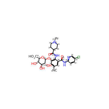 [C-]#[N+]c1cc(O[C@@H]2O[C@H](C(=O)O)[C@@H](O)[C@H](O)[C@H]2O)c(NC(=O)C2CCN(C(C)C)CC2)c(C(=O)Nc2ccc(Cl)cn2)c1